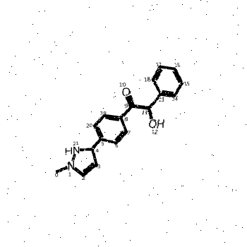 CN1C=CC(c2ccc(C(=O)C(O)c3ccccc3)cc2)N1